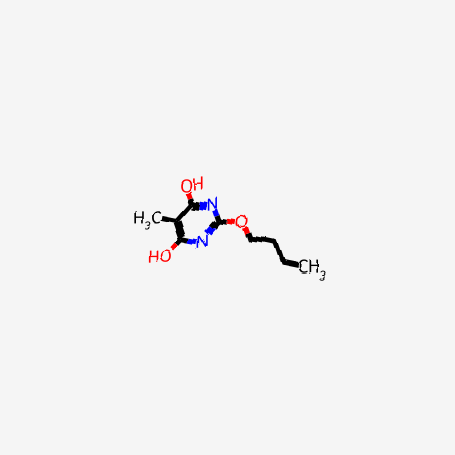 CCCCOc1nc(O)c(C)c(O)n1